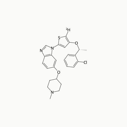 [2H]c1sc(-n2cnc3ccc(OC4CCN(C)CC4)cc32)cc1O[C@H](C)c1ccccc1Cl